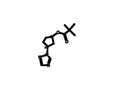 CC(C)(C)C(=O)ON1CC[C@H](n2cncn2)C1